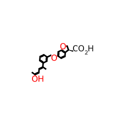 C/C(O)=C\C=C(/C)c1cccc(COc2ccc3c(c2)OC[C@H]3CC(=O)O)c1